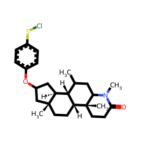 CC1CC2N(C)C(=O)CC[C@]2(C)[C@@H]2CC[C@]3(C)CC(Oc4ccc(SCl)cc4)C[C@H]3[C@H]12